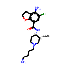 CO[C@@H]1CN(CCCCN)CC[C@@H]1NC(=O)c1cc(Cl)c(N)c2c1OCC2